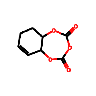 O=C1OC(=O)OC2CCC=CC2O1